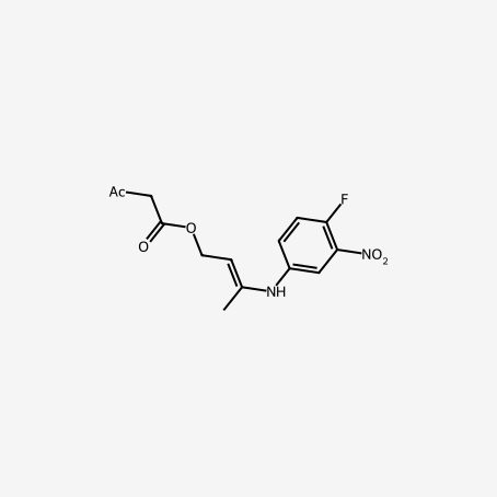 CC(=O)CC(=O)OCC=C(C)Nc1ccc(F)c([N+](=O)[O-])c1